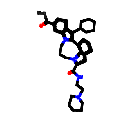 COC(=O)c1ccc2c(C3CCCCC3)c3n(c2c1)CCCn1c(C(=O)NCCN2CCCCC2)cc2cccc-3c21